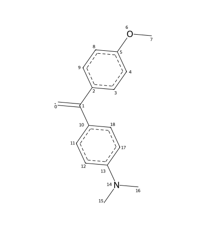 [CH]=C(c1ccc(OC)cc1)c1ccc(N(C)C)cc1